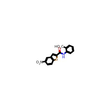 O=C(Nc1ccccc1C(=O)O)c1cc2cc([N+](=O)[O-])ccc2s1